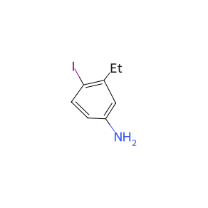 CCc1cc(N)ccc1I